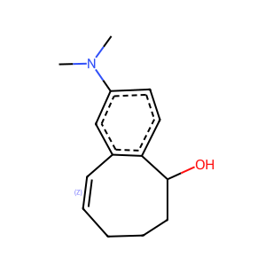 CN(C)c1ccc2c(c1)/C=C\CCCC2O